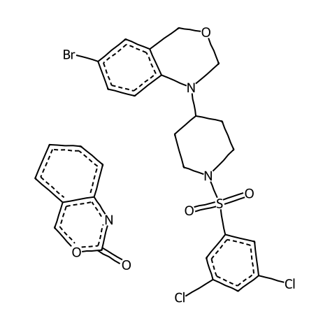 O=S(=O)(c1cc(Cl)cc(Cl)c1)N1CCC(N2COCc3cc(Br)ccc32)CC1.O=c1nc2ccccc2co1